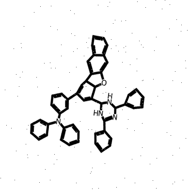 C1=C(c2cccc(N(c3ccccc3)c3ccccc3)c2)C=C(C2NC(c3ccccc3)=NC(c3ccccc3)N2)C2Oc3cc4ccccc4cc3C12